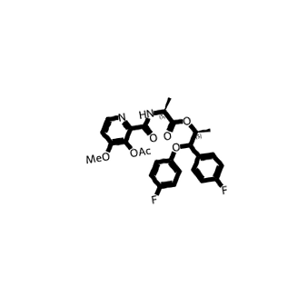 COc1ccnc(C(=O)N[C@@H](C)C(=O)O[C@@H](C)C(Oc2ccc(F)cc2)c2ccc(F)cc2)c1OC(C)=O